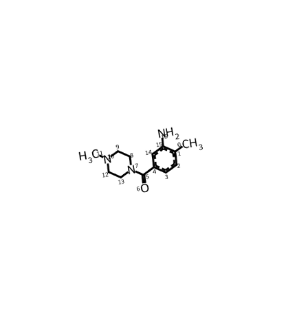 Cc1ccc(C(=O)N2CCN(C)CC2)cc1N